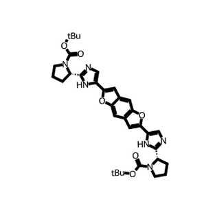 CC(C)(C)OC(=O)N1CCC[C@H]1c1ncc(-c2cc3cc4oc(-c5cnc([C@@H]6CCCN6C(=O)OC(C)(C)C)[nH]5)cc4cc3o2)[nH]1